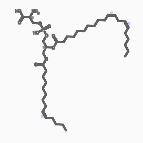 CCCC/C=C\CCCCCCCC(=O)OC[C@H](COP(=O)(O)OC[C@H](N)C(=O)O)OC(=O)CCCCCCCCC/C=C\C/C=C\CCCCC